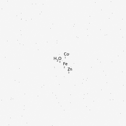 O.[Co].[Fe].[Zn]